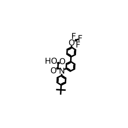 CC(C)(C)c1ccc(N(C(=O)C(=O)O)c2cccc(-c3ccc(OC(F)(F)F)cc3)c2)cc1